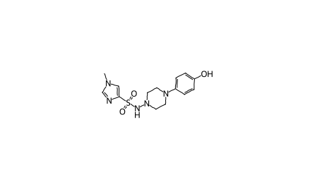 Cn1cnc(S(=O)(=O)NN2CCN(c3ccc(O)cc3)CC2)c1